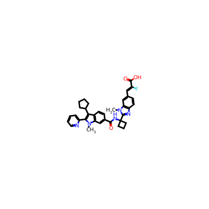 Cn1c(C2(NC(=O)c3ccc4c(C5CCCC5)c(-c5ccccn5)n(C)c4c3)CCC2)nc2ccc(/C=C(\F)C(=O)O)cc21